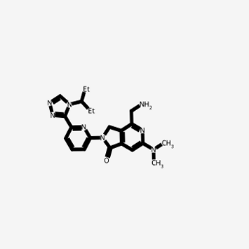 CCC(CC)n1cnnc1-c1cccc(N2Cc3c(cc(N(C)C)nc3CN)C2=O)n1